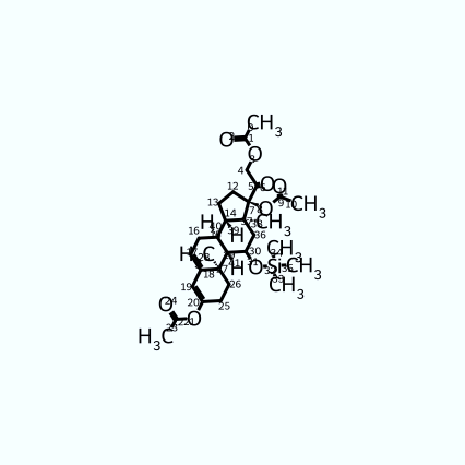 CC(=O)OCC(=O)[C@@]1(OC(C)=O)CC[C@H]2[C@@H]3CC=C4C=C(OC(C)=O)CC[C@]4(C)[C@H]3C(O[Si](C)(C)C)C[C@@]21C